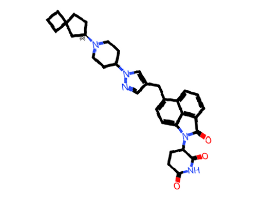 O=C1CCC(N2C(=O)c3cccc4c(Cc5cnn(C6CCN([C@@H]7CCC8(CCC8)C7)CC6)c5)ccc2c34)C(=O)N1